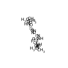 CCN(C)S(=O)(=O)Nc1ccc(F)c(C(=O)c2c[nH]c3ncc(-c4cnc(N5CCC(CC(=O)NC(=O)OC(C)(C)C)CC5)nc4)cc23)c1F